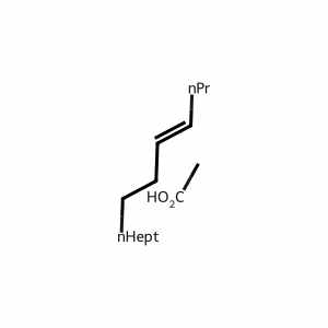 CC(=O)O.CCC/C=C/CCCCCCCCC